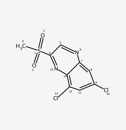 CS(=O)(=O)c1cnc2cc(Cl)cc(Cl)c2n1